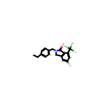 CCc1ccc(CN2Cc3cc(F)cc(C(F)(F)F)c3C2=O)cc1